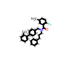 Cc1ccc(F)c(C(=O)N(CCCc2ccccc2)Cc2ccc(-c3ccccc3C(=O)O)cc2)c1